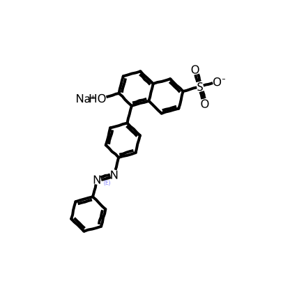 O=S(=O)([O-])c1ccc2c(-c3ccc(/N=N/c4ccccc4)cc3)c(O)ccc2c1.[Na+]